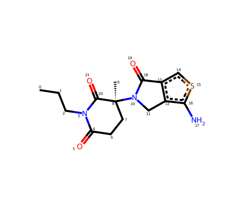 CCCN1C(=O)CC[C@](C)(N2Cc3c(csc3N)C2=O)C1=O